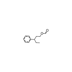 CCC(CCOC=O)c1ccccc1